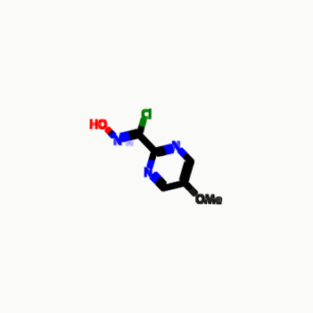 COc1cnc(/C(Cl)=N/O)nc1